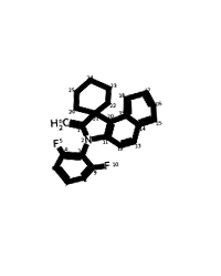 C=C1N(c2c(F)cccc2F)c2ccc3ccccc3c2C12CCCCC2